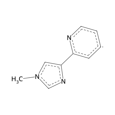 Cn1cnc(-c2c[c]ccn2)c1